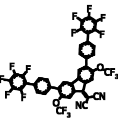 N#CC(C#N)=C1c2cc(OC(F)(F)F)c(-c3ccc(-c4c(F)c(F)c(F)c(F)c4F)cc3)cc2-c2cc(-c3ccc(-c4c(F)c(F)c(F)c(F)c4F)cc3)c(OC(F)(F)F)cc21